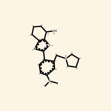 CN(C)c1ccc(-c2nc3c(s2)C(O)CCC3)c(CN2CCCC2)c1